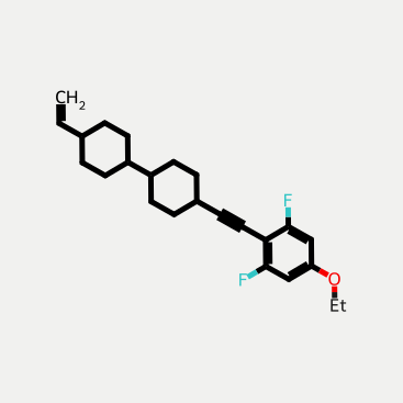 C=CC1CCC(C2CCC(C#Cc3c(F)cc(OCC)cc3F)CC2)CC1